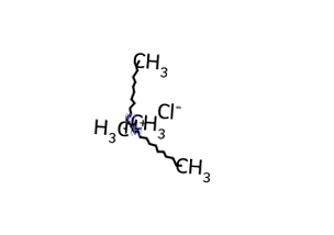 CCCCCCCCCC/C=C/[N+](C)(C)/C=C/CCCCCCCCCC.[Cl-]